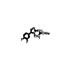 COC(=O)NC1=NCC(c2ccc(F)c(F)c2)N1C